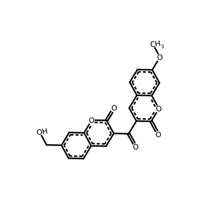 COc1ccc2cc(C(=O)c3cc4ccc(CO)cc4oc3=O)c(=O)oc2c1